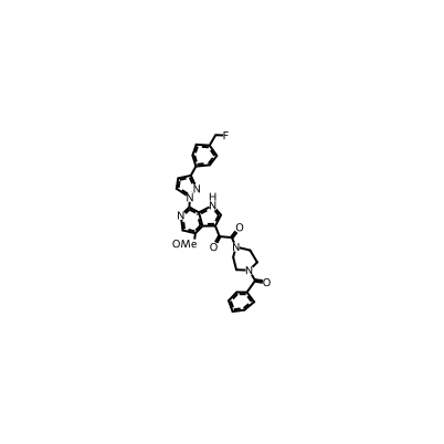 COc1cnc(-n2ccc(-c3ccc(CF)cc3)n2)c2[nH]cc(C(=O)C(=O)N3CCN(C(=O)c4ccccc4)CC3)c12